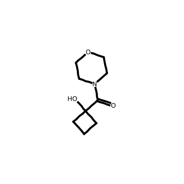 O=C(N1CCOCC1)C1(O)CCC1